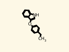 CCc1ccc(Oc2c[nH]c3ccccc23)cc1